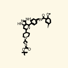 COc1ccc(F)cc1C(=O)NCc1ccc(-c2nc(C3CCN(C4CN(C(=O)OC(C)(C)C)C4)CC3)cc3[nH]nc(N)c23)cc1